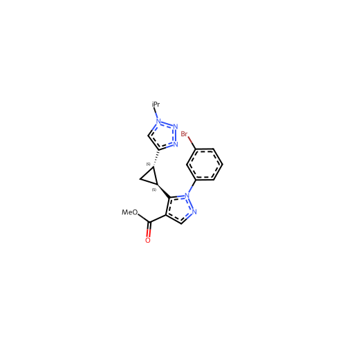 COC(=O)c1cnn(-c2cccc(Br)c2)c1[C@H]1C[C@@H]1c1cn(C(C)C)nn1